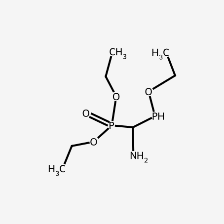 CCOPC(N)P(=O)(OCC)OCC